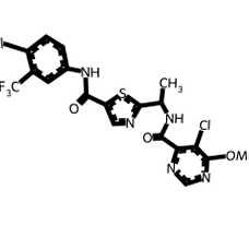 COc1ncnc(C(=O)NC(C)c2ncc(C(=O)Nc3ccc(Cl)c(C(F)(F)F)c3)s2)c1Cl